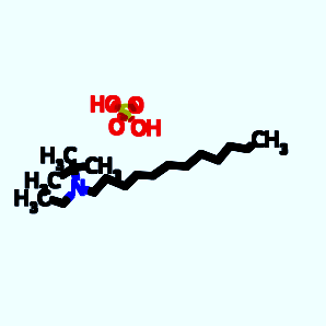 CCCCCCCCCCCCN(CC)C(C)(C)C.O=S(=O)(O)O